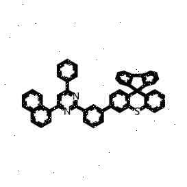 c1ccc(-c2cc(-c3cccc4ccccc34)nc(-c3cccc(-c4ccc5c(c4)Sc4ccccc4C54c5ccccc5-c5ccccc54)c3)n2)cc1